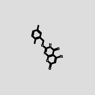 CCc1cc(=O)oc2nc(OCc3cc(C)ccc3C)[nH]c(=O)c12